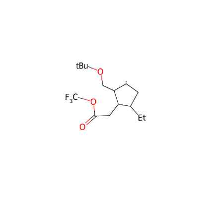 [CH2]CC1C[CH]C(COC(C)(C)C)C1CC(=O)OC(F)(F)F